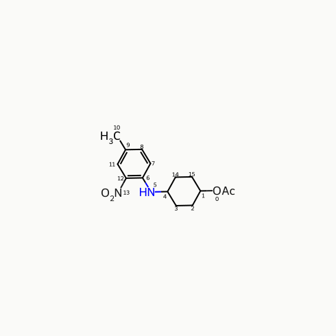 CC(=O)OC1CCC(Nc2ccc(C)cc2[N+](=O)[O-])CC1